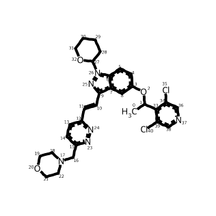 CC(Oc1ccc2c(c1)c(/C=C/c1ccc(CN3CCOCC3)nn1)nn2C1CCCCO1)c1c(Cl)cncc1Cl